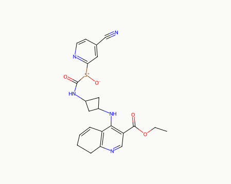 CCOC(=O)c1cnc2c(c1NC1CC(NC(=O)[S+]([O-])c3cc(C#N)ccn3)C1)C=CCC2